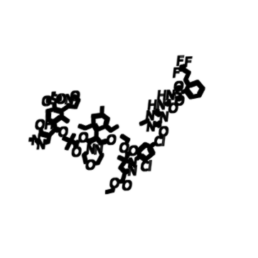 CCOC(=O)C1=NN(c2ccc(Cl)cc2Cl)C(C)(C(=O)OCC)C1.CCc1cc(C)cc(CC)c1-c1c(OC(=O)C(C)(C)C)n2n(c1=O)CCOCC2.COc1nc(C)nc(NC(=O)NS(=O)(=O)c2ccccc2CCC(F)(F)F)n1.Cc1c(C(=O)c2cnn(C)c2O)ccc(S(C)(=O)=O)c1C1=NOCC1